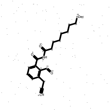 C#CCc1cccc(C(=O)NC(=O)CCCCCCCCCCCCCCCCC)c1I=O